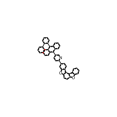 c1ccc(-c2ccccc2-c2c3ccccc3c(-c3ccc(-c4ccc5c(c4)oc4ccc6oc7ccccc7c6c45)nc3)c3ccccc23)cc1